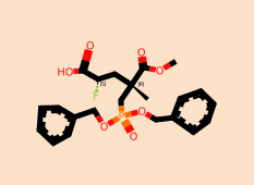 COC(=O)[C@@](C)(C[C@H](F)C(=O)O)CP(=O)(OCc1ccccc1)OCc1ccccc1